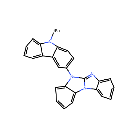 CC(C)(C)n1c2ccccc2c2cc(-n3c4ccccc4n4c5ccccc5nc34)ccc21